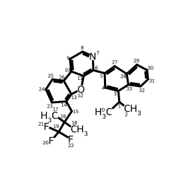 CC(C)c1cc(-c2nccc3c2oc2c(CC(C)(C)C(F)(F)F)cccc23)cc2ccccc12